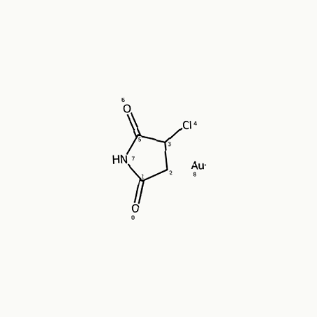 O=C1CC(Cl)C(=O)N1.[Au]